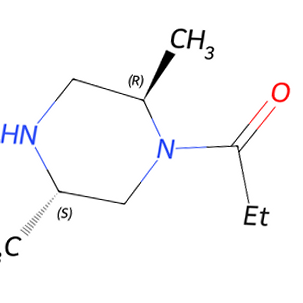 CCC(=O)N1C[C@H](C)NC[C@H]1C